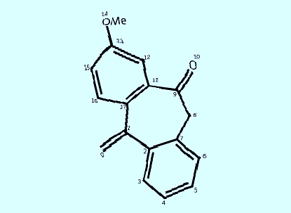 C=C1c2ccccc2CC(=O)c2cc(OC)ccc21